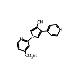 CCOC(=O)c1ccnc(-n2cc(C#N)c(-c3ccncc3)c2)c1